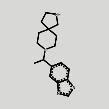 CC(c1ccc2scnc2c1)N1CCC2(CCNC2)CC1